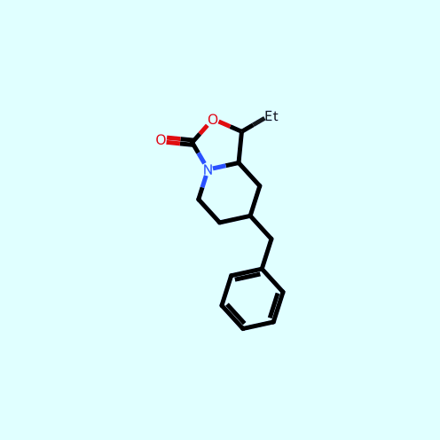 CCC1OC(=O)N2CCC(Cc3ccccc3)CC12